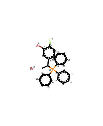 CC(c1ccc(F)c(Br)c1)[P+](c1ccccc1)(c1ccccc1)c1ccccc1.[Br-]